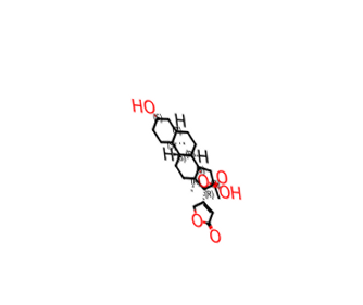 CC(=O)O[C@]12C[C@H](O)[C@H](C3=CC(=O)OC3)[C@@]1(C)CC[C@H]1[C@H]2CC[C@@H]2C[C@@H](O)CC[C@@]21C